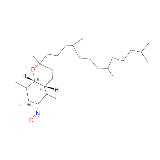 CC(C)CCCC(C)CCCC(C)CCCC1(C)CC[C@@H]2C(C)C(N=O)[C@H](C)C(C)[C@@H]2O1